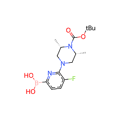 C[C@@H]1CN(c2nc(B(O)O)ccc2F)C[C@H](C)N1C(=O)OC(C)(C)C